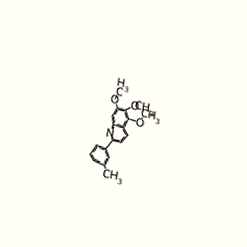 COc1cc2nc(-c3cccc(C)c3)ccc2c(OC)c1OC